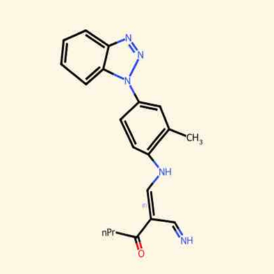 CCCC(=O)/C(C=N)=C/Nc1ccc(-n2nnc3ccccc32)cc1C